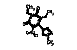 CCn1c(-c2cnn(C)c2)c([N+](=O)[O-])c(=O)n(CC)c1=O